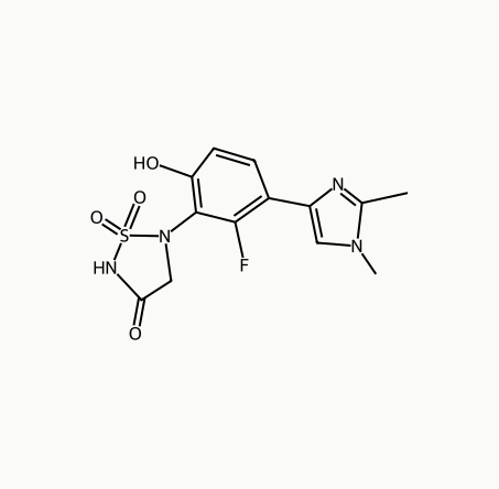 Cc1nc(-c2ccc(O)c(N3CC(=O)NS3(=O)=O)c2F)cn1C